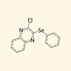 Clc1nc2ccccc2nc1[Se]c1ccccc1